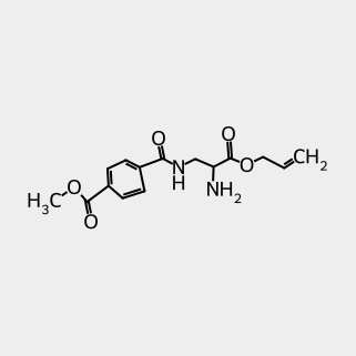 C=CCOC(=O)C(N)CNC(=O)c1ccc(C(=O)OC)cc1